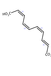 O=C(O)\C=C/C=C\C=C/C=C/C(=O)O